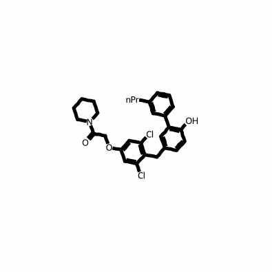 CCCc1cccc(-c2cc(Cc3c(Cl)cc(OCC(=O)N4CCCCC4)cc3Cl)ccc2O)c1